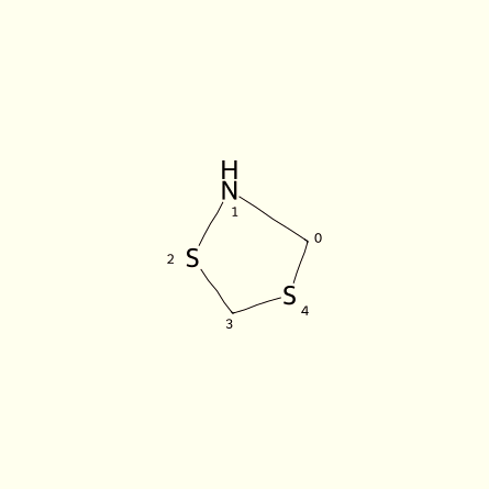 C1NSCS1